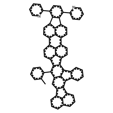 Cc1ccccc1-c1c2cc3c4cccc5cccc(c54)c3c3c4ccccc4c(c4c5ccc6c7ccc8c9c(ccc(c%10ccc(c14)c5c%106)c97)-c1c(-c4ccccn4)ccc(-c4ccccn4)c1-8)c23